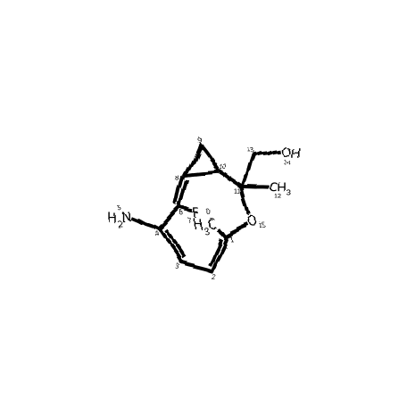 C\C1=C/C=C(N)\C(F)=C2/CC2C(C)(CO)O1